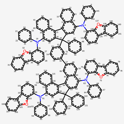 c1ccc(N(c2cc3c(c4ccccc24)-c2c(cc(N(c4ccccc4)c4cccc5c4oc4ccccc45)c4ccccc24)C3(c2ccccc2)c2cccc(-c3ccc4c(N(c5ccccc5)c5cccc6c5oc5ccccc56)cc5c(c4c3)-c3c(cc(N(c4ccccc4)c4cccc6c4oc4ccccc46)c4ccccc34)C5(c3ccccc3)c3ccccc3)c2)c2cccc3c2oc2ccccc23)cc1